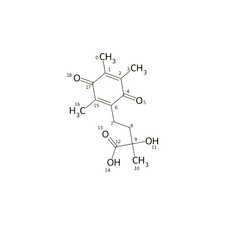 CC1=C(C)C(=O)C(CCC(C)(O)C(=O)O)=C(C)C1=O